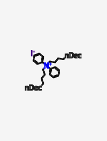 CCCCCCCCCCCCCC[N+](CCCCCCCCCCCCCC)(c1ccccc1)c1ccccc1.[I-]